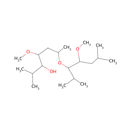 COC(CC(C)OC(C(C)C)C(CC(C)C)OC)C(O)C(C)C